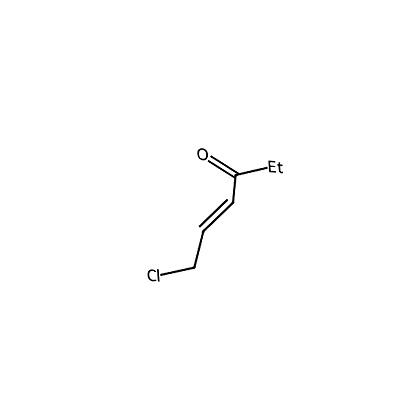 CCC(=O)/C=C/CCl